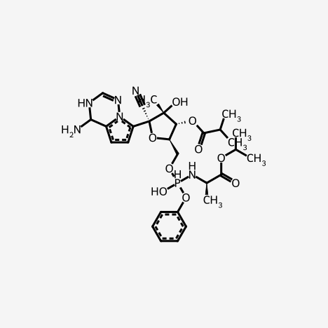 CC(C)OC(=O)[C@@H](C)N[PH](O)(OC[C@H]1O[C@@](C#N)(c2ccc3n2N=CNC3N)[C@](C)(O)[C@@H]1OC(=O)C(C)C)Oc1ccccc1